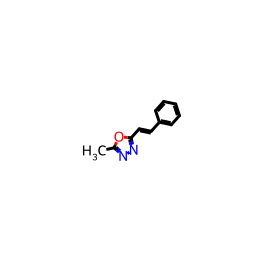 Cc1nnc(C=Cc2ccccc2)o1